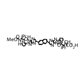 COC(=O)N[C@H](C(=O)N1CCC[C@@H]1c1nc2nc(-c3ccc4cc(-c5cnc6[nH]c([C@H]7CCCN7C(=O)[C@H](C(C)C)N(C)C(=O)O)nc6n5)ccc4c3)cnc2[nH]1)C(C)C